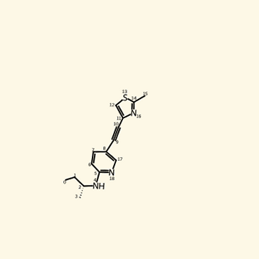 CC[C@@H](C)Nc1ccc(C#Cc2csc(C)n2)cn1